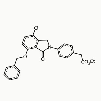 CCOC(=O)Cc1ccc(N2Cc3c(Cl)ccc(OCc4ccccc4)c3C2=O)cc1